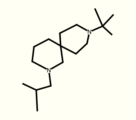 CC(C)CN1CCCC2(CCN(C(C)(C)C)CC2)C1